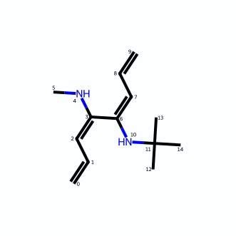 C=C/C=C(NC)\C(=C/C=C)NC(C)(C)C